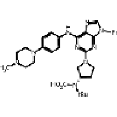 CC(C)n1cnc2c(Nc3ccc(N4CCN(C)CC4)cc3)nc(N3CC[C@H](N(C(=O)O)C(C)(C)C)C3)nc21